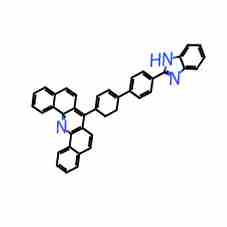 C1=C(c2ccc(-c3nc4ccccc4[nH]3)cc2)CCC(c2c3ccc4ccccc4c3nc3c2ccc2ccccc23)=C1